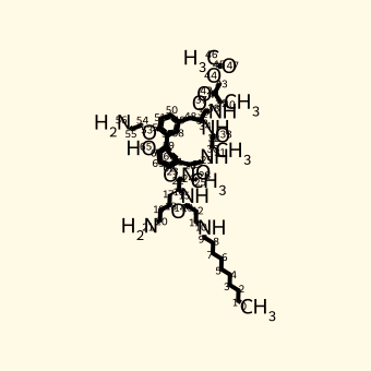 CCCCCCCCCCNCCC(=O)N[C@@H](CCCCN)C(=O)N(C)[C@@H]1C(=O)N[C@@H](C)C(=O)NC(C(=O)N[C@@H](C)C(=O)COC(C)=O)Cc2ccc(OCCN)c(c2)-c2cc1ccc2O